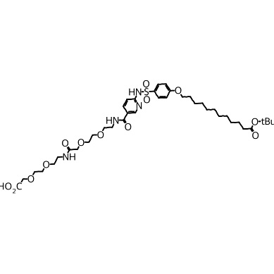 CC(C)(C)OC(=O)CCCCCCCCCCCOc1ccc(S(=O)(=O)Nc2ccc(C(=O)NCCOCCOCC(=O)NCCOCCOCC(=O)O)cn2)cc1